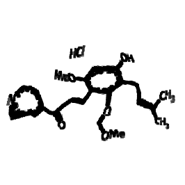 COCOc1c(C=CC(=O)c2ccncc2)c(OC)cc(O)c1CC=C(C)C.Cl